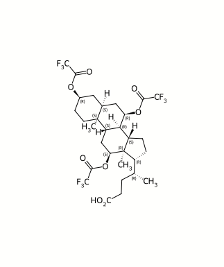 C[C@H](CCC(=O)O)[C@H]1CC[C@H]2[C@@H]3[C@H](OC(=O)C(F)(F)F)C[C@@H]4C[C@H](OC(=O)C(F)(F)F)CC[C@]4(C)[C@H]3C[C@H](OC(=O)C(F)(F)F)[C@]12C